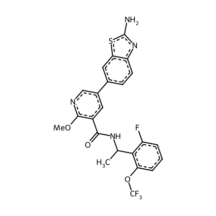 COc1ncc(-c2ccc3nc(N)sc3c2)cc1C(=O)NC(C)c1c(F)cccc1OC(F)(F)F